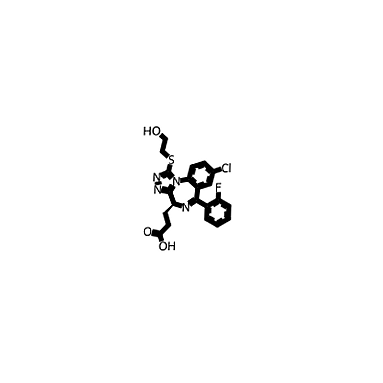 O=C(O)CC[C@@H]1N=C(c2ccccc2F)c2cc(Cl)ccc2-n2c(SCCO)nnc21